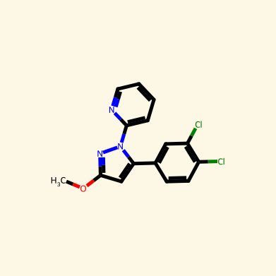 COc1cc(-c2ccc(Cl)c(Cl)c2)n(-c2ccccn2)n1